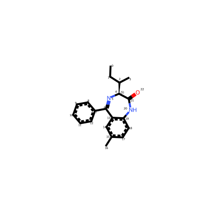 CCC(C)[C@@H]1N=C(c2ccccc2)c2cc(C)ccc2NC1=O